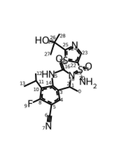 CC(C)c1cc(C#N)c(F)c(C(C)C)c1NC(=O)N=[S@](N)(=O)c1cnc(C(C)(C)O)s1